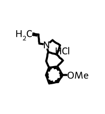 C=CCN1CCC2Cc3c(cccc3OC)CC21.Cl